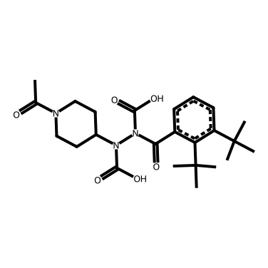 CC(=O)N1CCC(N(C(=O)O)N(C(=O)O)C(=O)c2cccc(C(C)(C)C)c2C(C)(C)C)CC1